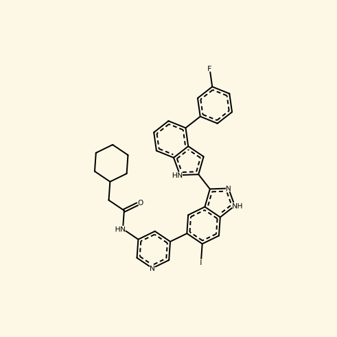 O=C(CC1CCCCC1)Nc1cncc(-c2cc3c(-c4cc5c(-c6cccc(F)c6)cccc5[nH]4)n[nH]c3cc2I)c1